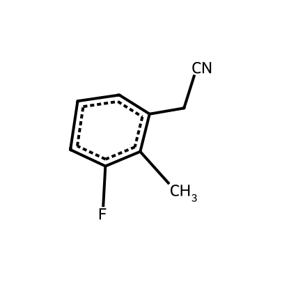 Cc1c(F)cccc1CC#N